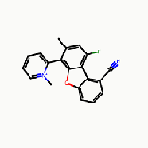 Cc1cc(F)c2c(oc3cccc(C#N)c32)c1-c1cccc[n+]1C